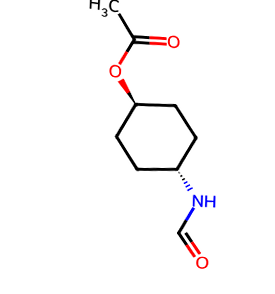 CC(=O)O[C@H]1CC[C@H](NC=O)CC1